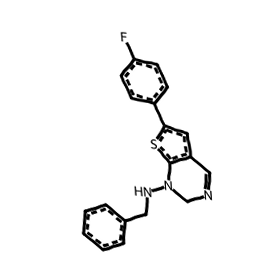 Fc1ccc(-c2cc3c(s2)N(NCc2ccccc2)CN=C3)cc1